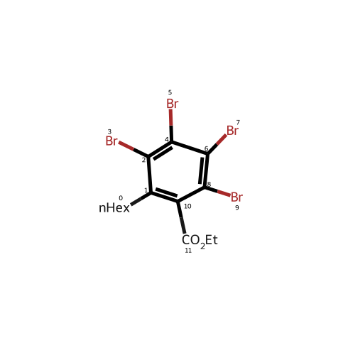 CCCCCCc1c(Br)c(Br)c(Br)c(Br)c1C(=O)OCC